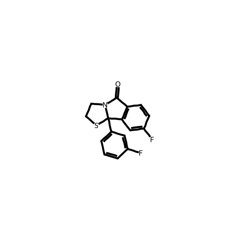 O=C1c2ccc(F)cc2C2(c3cccc(F)c3)SCCN12